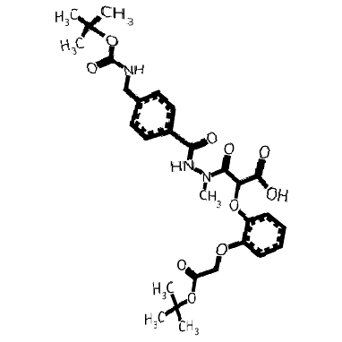 CN(NC(=O)c1ccc(CNC(=O)OC(C)(C)C)cc1)C(=O)C(Oc1ccccc1OCC(=O)OC(C)(C)C)C(=O)O